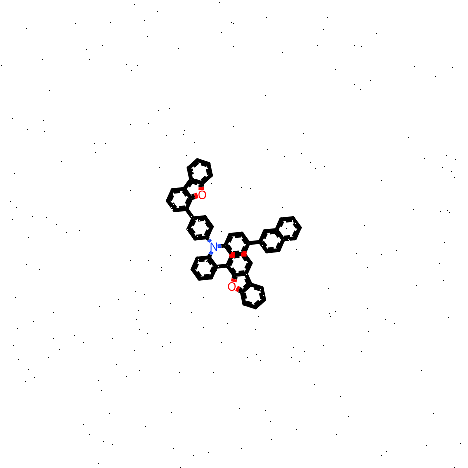 c1ccc(N(c2ccc(-c3ccc4ccccc4c3)cc2)c2ccc(-c3cccc4c3oc3ccccc34)cc2)c(-c2cccc3c2oc2ccccc23)c1